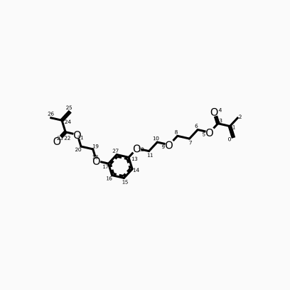 C=C(C)C(=O)OCCCOCCOc1cccc(OCCOC(=O)C(=C)C)c1